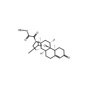 CCCCOC(=O)C(=O)[C@@]12CC[C@@]3(OC(C)O1)[C@@H]1CCC4=CC(=O)CC[C@]4(C)[C@@]1(Cl)[C@@H](F)C[C@]23C